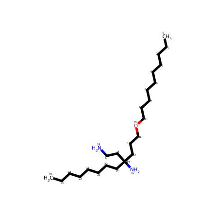 CCCCCCCCCCOCCCC(N)(CCN)CCCCCCCC